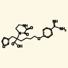 N=C(N)c1ccc(OCCCCC(Cc2ccoc2)(C(=O)O)N2CCNC(=O)C2=O)cc1